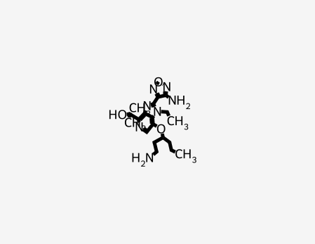 CCCC(CCN)Oc1cnc(C(C)(C)O)c2nc(-c3nonc3N)n(CC)c12